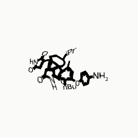 CCCCc1cc(C2(C3=CC(=O)NC3=O)CC(C(C)C)CCC2(C)C2=CC(=O)NC2=O)c(C)cc1Oc1ccc(N)cc1